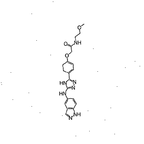 COCCNC(=O)COC1=CC=C(c2nnc(Nc3ccc4[nH]ncc4c3)[nH]2)CC1